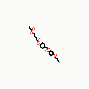 CCCCOc1ccc(OC(=O)C2CCC(OC(=O)CCCCOC(=O)CC)CC2)cc1